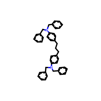 c1ccc(CN(Cc2ccccc2)c2ccc(CCCc3ccc(N(Cc4ccccc4)Cc4ccccc4)cc3)cc2)cc1